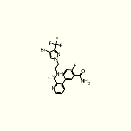 C[C@H](NCCn1cc(Br)c(C(F)(F)F)n1)c1ncccc1-c1ccc(F)c(C(N)=O)c1